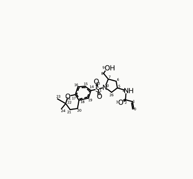 C=CC(=O)NC1CC(CO)N(S(=O)(=O)c2ccc3c(c2)CCC(C)(C)O3)C1